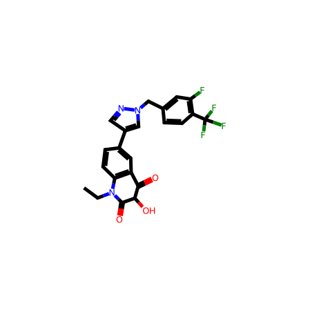 CCN1C(=O)C(O)C(=O)c2cc(-c3cnn(Cc4ccc(C(F)(F)F)c(F)c4)c3)ccc21